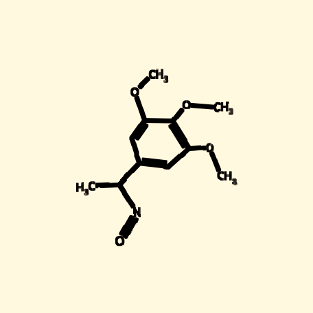 COc1cc(C(C)N=O)cc(OC)c1OC